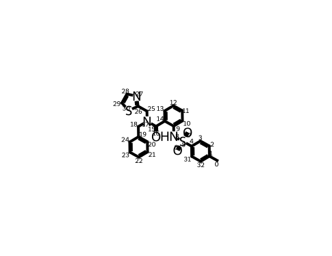 Cc1ccc(S(=O)(=O)Nc2ccccc2C(=O)N(Cc2ccccc2)Cc2nccs2)cc1